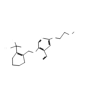 COCCOc1cc(C=O)c(OCC2=C(C(C)(C)O)CCCC2)cn1